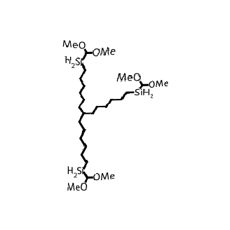 COC(OC)[SiH2]CCCCCCC(CCCCCC[SiH2]C(OC)OC)CCCCCC[SiH2]C(OC)OC